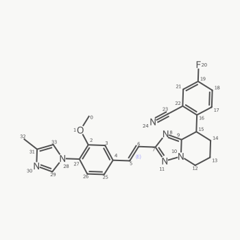 COc1cc(/C=C/c2nc3n(n2)CCCC3c2ccc(F)cc2C#N)ccc1-n1cnc(C)c1